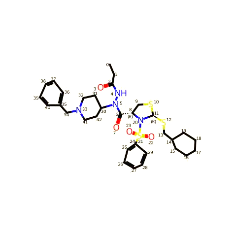 CCC(=O)NN(C(=O)[C@@H]1CS[C@@H](SCC2CCCCC2)N1S(=O)(=O)c1ccccc1)C1CCN(Cc2ccccc2)CC1